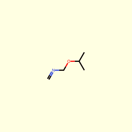 C=NCOC(C)C